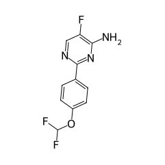 Nc1nc(-c2ccc(OC(F)F)cc2)ncc1F